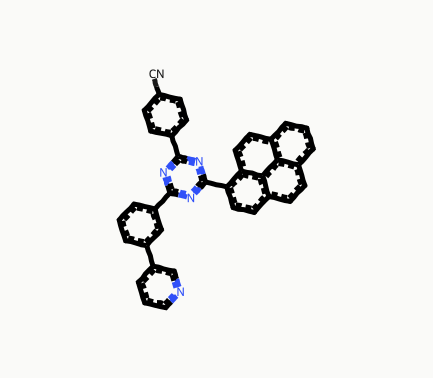 N#Cc1ccc(-c2nc(-c3cccc(-c4cccnc4)c3)nc(-c3ccc4ccc5cccc6ccc3c4c56)n2)cc1